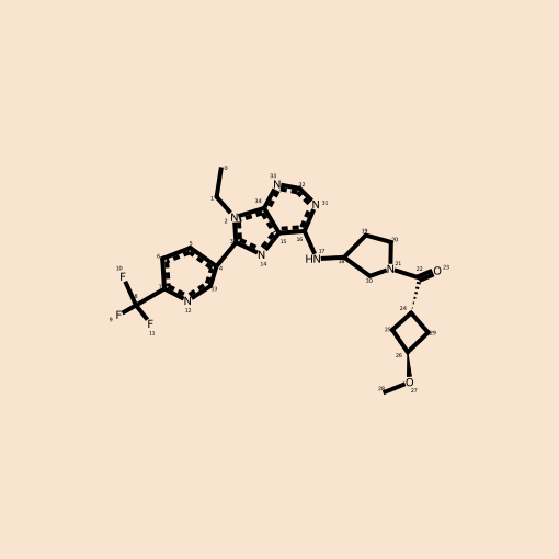 CCn1c(-c2ccc(C(F)(F)F)nc2)nc2c(NC3CCN(C(=O)[C@H]4C[C@H](OC)C4)C3)ncnc21